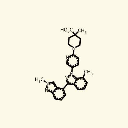 Cc1cccc2c(-c3cccc4nn(C)cc34)nn(-c3ccc(N4CCC(C)(C(=O)O)CC4)nc3)c12